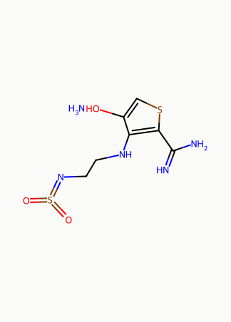 N.N=C(N)c1scc(O)c1NCCN=S(=O)=O